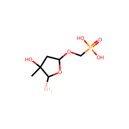 BC1OC(OCP(=O)(O)O)CC1(C)O